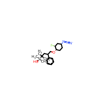 CC(C)(CC(CO[C@H]1CC[C@H](N=[N+]=[N-])C[C@@H]1F)c1ccccc1)[Si](C)(C)O